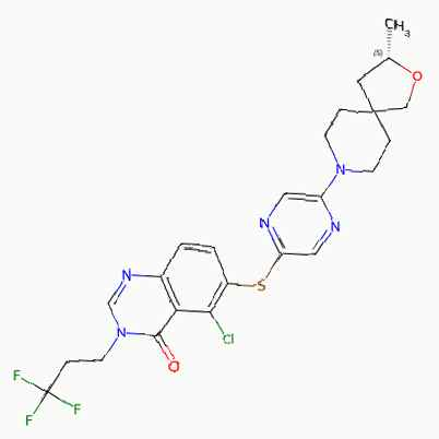 C[C@H]1CC2(CCN(c3cnc(Sc4ccc5ncn(CCC(F)(F)F)c(=O)c5c4Cl)cn3)CC2)CO1